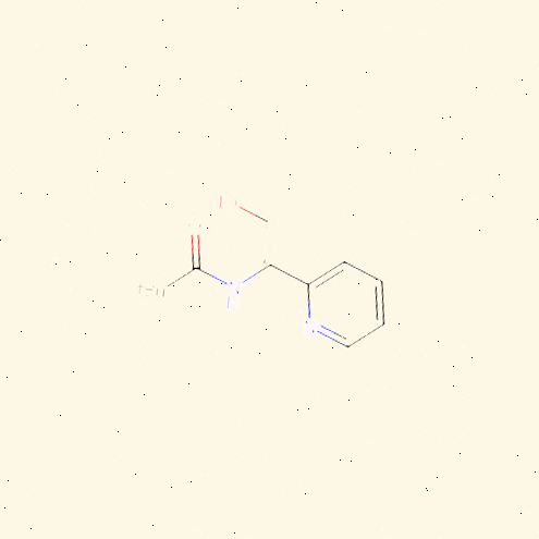 CC(C)(C)C(=O)N[C@H](CO)c1ccccn1